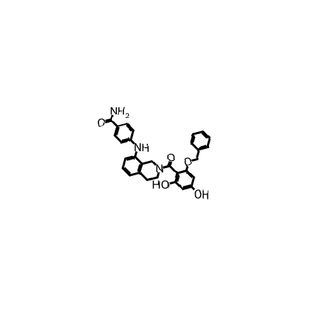 NC(=O)c1ccc(Nc2cccc3c2CN(C(=O)c2c(O)cc(O)cc2OCc2ccccc2)CC3)cc1